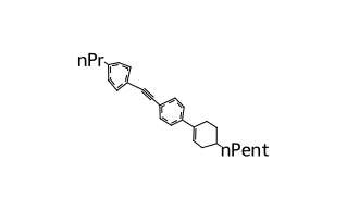 CCCCCC1CC=C(c2ccc(C#Cc3ccc(CCC)cc3)cc2)CC1